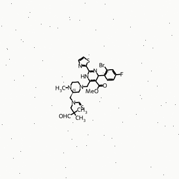 COC(=O)C1=C(CN2CCN(C)[C@H](CN(C=S)CC(C)(C)C=O)C2)NC(c2nccs2)=NC1c1ccc(F)cc1Br